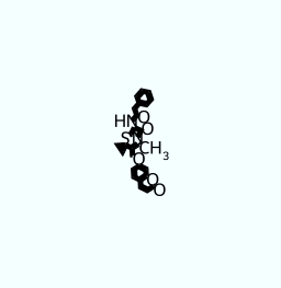 CC1=C(COc2ccc3ccc(=O)oc3c2)C2(CC2)SC2C(NC(=O)Cc3ccccc3)C(=O)N12